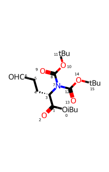 CC(C)COC(=O)[C@H](CCC=O)N(C(=O)OC(C)(C)C)C(=O)OC(C)(C)C